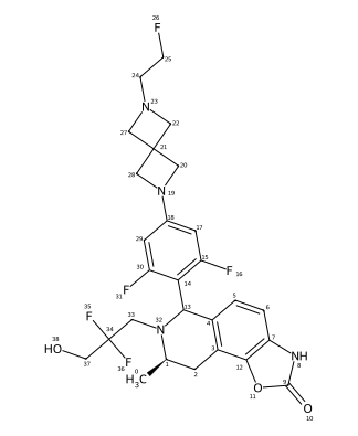 C[C@@H]1Cc2c(ccc3[nH]c(=O)oc23)C(c2c(F)cc(N3CC4(CN(CCF)C4)C3)cc2F)N1CC(F)(F)CO